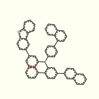 c1ccc(-c2ccc(-c3ccc4ccccc4c3)cc2N(c2ccc(-c3cccc4ccccc34)cc2)c2cccc(-c3ccc4oc5ccccc5c4c3)c2)cc1